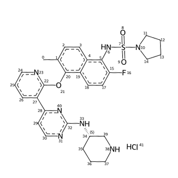 Cc1ccc2c(NS(=O)(=O)N3CCCC3)c(F)ccc2c1Oc1ncccc1-c1ccnc(N[C@H]2CCCNC2)n1.Cl